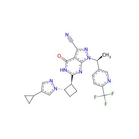 C[C@@H](c1ccc(C(F)(F)F)nc1)n1nc(C#N)c2c(=O)[nH]c([C@H]3CC[C@@H]3n3cc(C4CC4)cn3)nc21